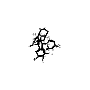 Cn1nc2c(c1-c1cc(F)c(F)c(F)c1)C[C@@H]1CCC[C@H]2N1C(=O)c1cnc2cc(Cl)ccn12